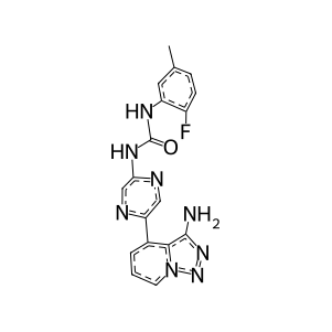 Cc1ccc(F)c(NC(=O)Nc2cnc(-c3cccn4nnc(N)c34)cn2)c1